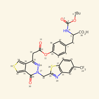 CC(C)(C)OC(=O)NC(Cc1ccc(OC(=O)Cc2nn(Cc3nc4cc(C(F)(F)F)ccc4s3)c(=O)c3cscc23)cc1)C(=O)O